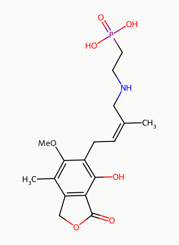 COc1c(C)c2c(c(O)c1CC=C(C)CNCCP(=O)(O)O)C(=O)OC2